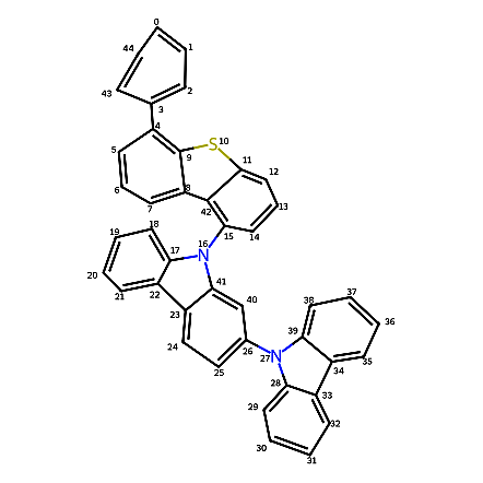 c1ccc(-c2cccc3c2sc2cccc(-n4c5ccccc5c5ccc(-n6c7ccccc7c7ccccc76)cc54)c23)cc1